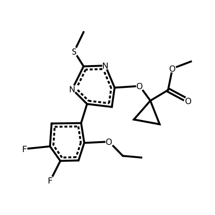 CCOc1cc(F)c(F)cc1-c1cc(OC2(C(=O)OC)CC2)nc(SC)n1